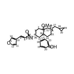 CO[C@]12CC[C@@H](NC(=O)C=Cc3ccoc3)C[C@]1(c1cccc(O)c1)CCN(CC1CC1)C2